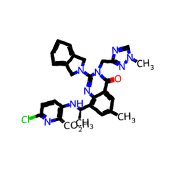 Cc1cc([C@@H](C)Nc2ccc(Cl)nc2C(=O)O)c2nc(N3Cc4ccccc4C3)n(Cc3ncn(C)n3)c(=O)c2c1